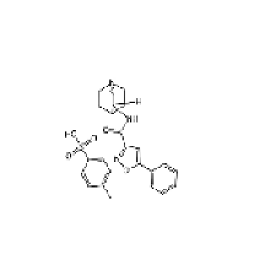 Cc1ccc(S(=O)(=O)O)cc1.O=C(N[C@H]1CN2CCC1CC2)c1cc(-c2ccccc2)on1